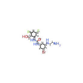 NCCNc1cc(Br)cc(NC(=O)Nc2cc(F)cc(F)c2CO)c1